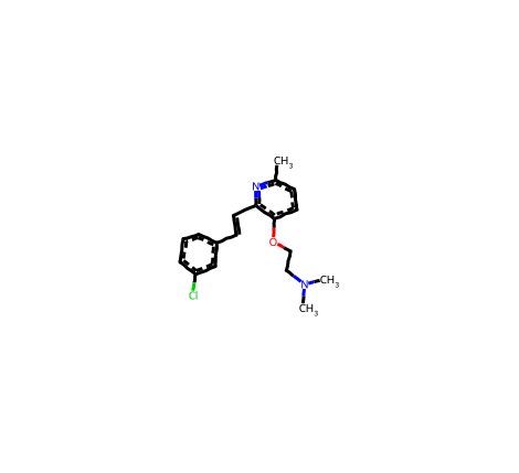 Cc1ccc(OCCN(C)C)c(/C=C/c2cccc(Cl)c2)n1